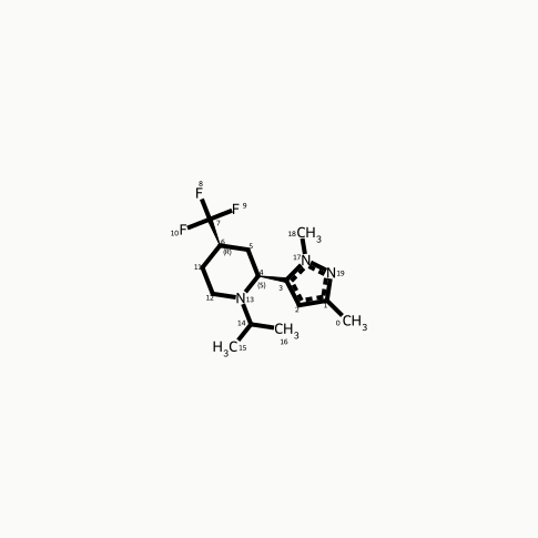 Cc1cc([C@@H]2C[C@H](C(F)(F)F)CCN2C(C)C)n(C)n1